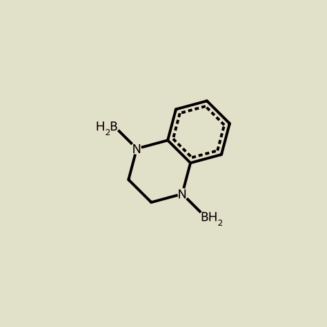 BN1CCN(B)c2ccccc21